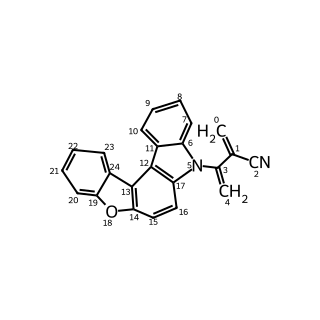 C=C(C#N)C(=C)n1c2ccccc2c2c3c(ccc21)oc1ccccc13